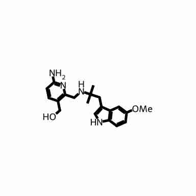 COc1ccc2[nH]cc(CC(C)(C)NCc3nc(N)ccc3CO)c2c1